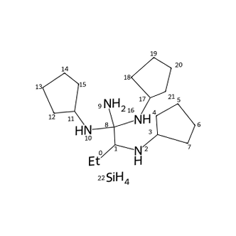 CCC(NC1CCCC1)C(N)(NC1CCCC1)NC1CCCC1.[SiH4]